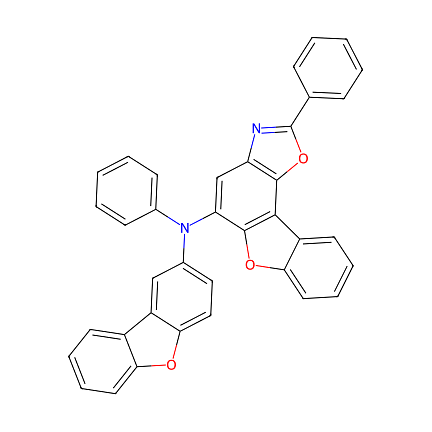 c1ccc(-c2nc3cc(N(c4ccccc4)c4ccc5oc6ccccc6c5c4)c4oc5ccccc5c4c3o2)cc1